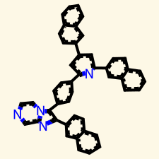 c1ccc2cc(-c3cc(-c4ccc(-c5c(-c6ccc7ccccc7c6)nc6cnccn56)cc4)nc(-c4ccc5ccccc5c4)c3)ccc2c1